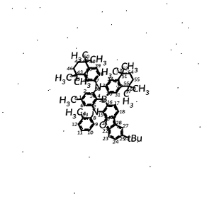 Cc1cc2c3c(c1)N(c1ccccc1C)c1c(ccc4c1oc1ccc(C(C)(C)C)cc14)B3c1cc3c(cc1N2c1ccc2c(c1)C(C)(C)CCC2(C)C)C(C)(C)CCC3(C)C